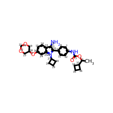 CC(OC(=O)Nc1ccc(-c2c(N)c3ccc(OC4COCOC4)cc3n2C2CCC2)cc1)C1CCC1